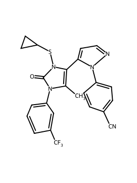 Cc1c(-c2ccnn2-c2ccc(C#N)cc2)n(SC2CC2)c(=O)n1-c1cccc(C(F)(F)F)c1